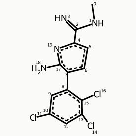 CNC(=N)c1ccc(-c2cc(Cl)cc(Cl)c2Cl)c(N)n1